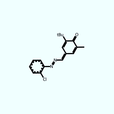 CC1=CC(=CN=Nc2ccccc2Cl)C=C(C(C)(C)C)C1=O